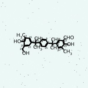 Cc1cc(C(C)(C)c2ccc(C(C)(C)c3cc(C)c(O)c(CO)c3)cc2)cc(C=O)c1O